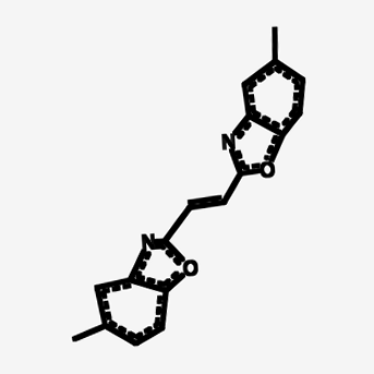 Cc1ccc2oc(C=Cc3nc4cc(C)ccc4o3)nc2c1